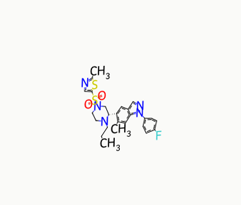 CCCN1CCN(S(=O)(=O)c2cnc(C)s2)C[C@@H]1c1cc2cnn(-c3ccc(F)cc3)c2cc1C